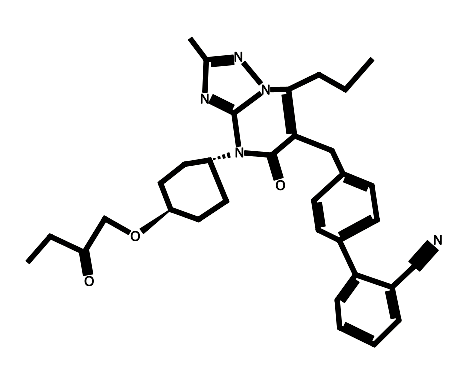 CCCc1c(Cc2ccc(-c3ccccc3C#N)cc2)c(=O)n([C@H]2CC[C@H](OCC(=O)CC)CC2)c2nc(C)nn12